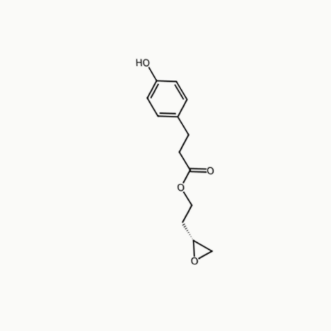 O=C(CCc1ccc(O)cc1)OCC[C@@H]1CO1